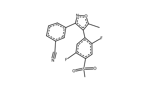 Cc1onc(-c2cccc(C#N)c2)c1-c1cc(F)c(S(C)(=O)=O)cc1F